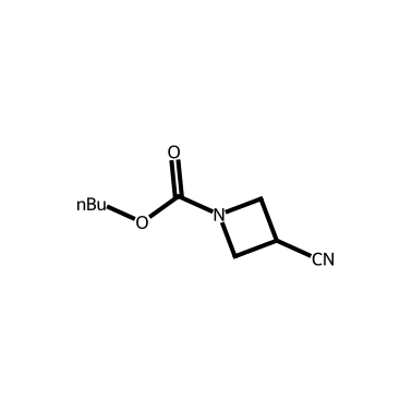 CCCCOC(=O)N1CC(C#N)C1